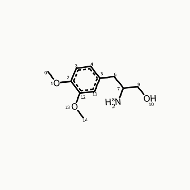 COc1ccc(CC(N)CO)cc1OC